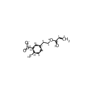 C=CC(=O)OCCc1ccc(F)c([N+](=O)[O-])c1